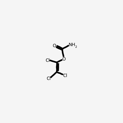 NC(=O)OC(Cl)=C(Cl)Cl